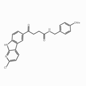 COc1ccc(CNC(=O)CCC(=O)c2ccc3[nH]c4nc(Cl)ccc4c3c2)cc1